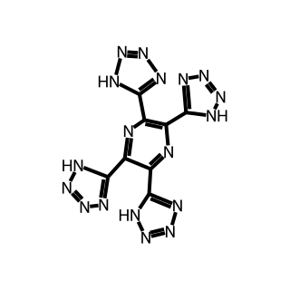 n1n[nH]c(-c2nc(-c3nnn[nH]3)c(-c3nnn[nH]3)nc2-c2nnn[nH]2)n1